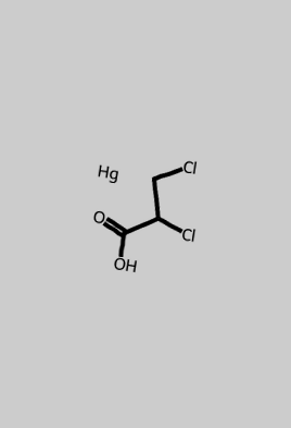 O=C(O)C(Cl)CCl.[Hg]